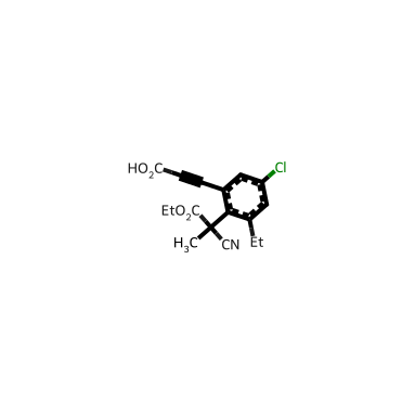 CCOC(=O)C(C)(C#N)c1c(C#CC(=O)O)cc(Cl)cc1CC